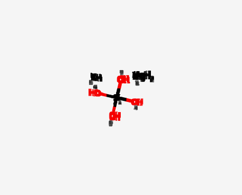 O[Si](O)(O)O.[KH].[MgH2]